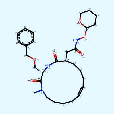 CN1CCCCC=CCCC[C@H](CC(=O)NOC2CCCCO2)C(=O)N[C@@H](COCc2ccccc2)C1=O